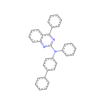 c1ccc(-c2ccc(N(c3ccccc3)c3nc(-c4ccccc4)c4ccccc4n3)cc2)cc1